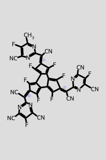 Cc1nc(/C(C#N)=C2/C(F)=c3c4c(c5c(c3=C2F)=C(F)/C(=C(\C#N)c2nc(C#N)c(F)c(C#N)n2)C=5F)=C(F)/C(=C(\C#N)c2nc(C#N)c(F)c(C#N)n2)C=4F)nc(C#N)c1F